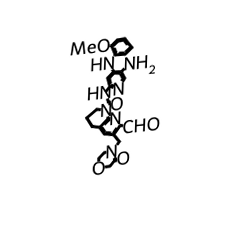 COc1ccccc1Nc1cc(NC(=O)N2CCCc3cc(CN4CCOCC4=O)c(C=O)nc32)ncc1N